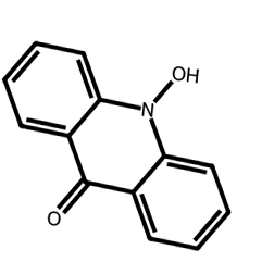 O=c1c2ccccc2n(O)c2ccccc12